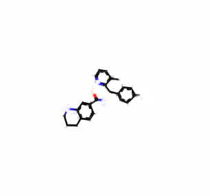 O=C(N[C@@H](c1ccc(C(F)(F)F)cc1)c1ncccc1C(F)(F)F)c1ccc2c(c1)NCCC2